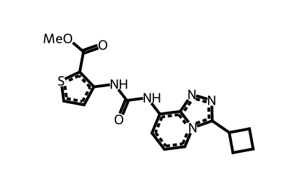 COC(=O)c1sccc1NC(=O)Nc1cccn2c(C3CCC3)nnc12